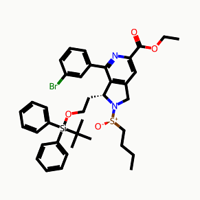 CCCC[S@@+]([O-])N1Cc2cc(C(=O)OCC)nc(-c3cccc(Br)c3)c2[C@H]1CCO[Si](c1ccccc1)(c1ccccc1)C(C)(C)C